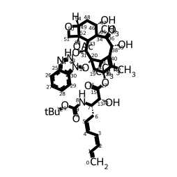 C=C/C=C\C=C/C[C@H](NC(=O)OC(C)(C)C)[C@@H](O)C(=O)O[C@H]1C[C@@]2(On3nnc4ccccc43)[C@@H](O)C3[C@](C)(C(=O)[C@H](O)C(=C1C)C2(C)C)[C@@H](O)C[C@H]1OC[C@@]31OC(C)=O